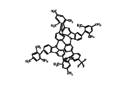 Cc1cc(C)c(-c2ccc3c(c2)c2cc(-c4c(C)cc(C)cc4C)ccc2n3-c2ccc(C#N)cc2-c2ccc(-c3ccc(C(F)(F)F)cc3C#N)cc2-n2c3ccc(-c4c(C)cc(C)cc4C)cc3c3cc(-c4c(C)cc(C)cc4C)ccc32)c(C)c1